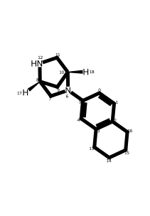 c1cc2c(cc1N1C[C@H]3C[C@@H]1CN3)CCCC2